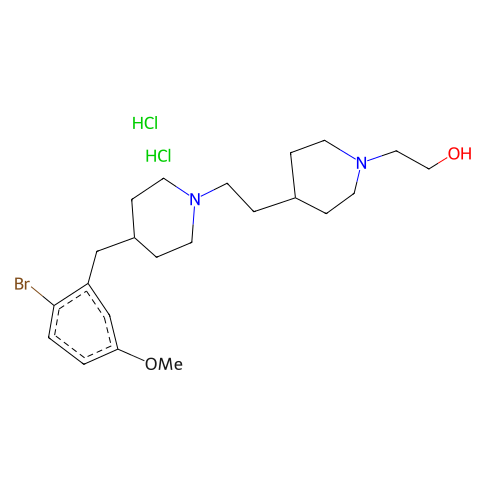 COc1ccc(Br)c(CC2CCN(CCC3CCN(CCO)CC3)CC2)c1.Cl.Cl